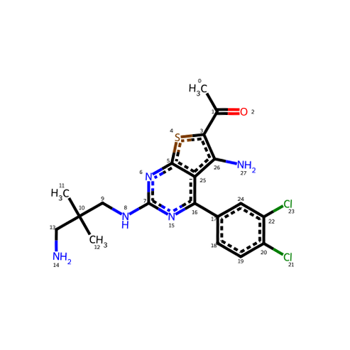 CC(=O)c1sc2nc(NCC(C)(C)CN)nc(-c3ccc(Cl)c(Cl)c3)c2c1N